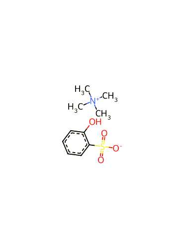 C[N+](C)(C)C.O=S(=O)([O-])c1ccccc1O